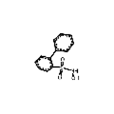 O=S(=O)(NO)c1ccccc1-c1ccccc1